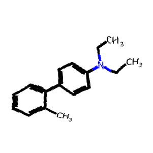 CCN(CC)c1ccc(-c2ccccc2C)cc1